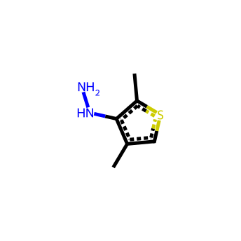 Cc1csc(C)c1NN